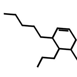 CCCCCC1C=CCC(C)C1CCC